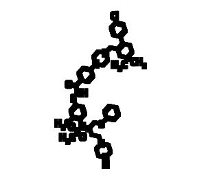 Cc1cc(SNC(=O)c2ccc(N3CCN(CC4=C(c5ccc(Cl)cc5)CCC(C)(C)C4)CC3)cc2)ccc1N([C@H](CCN1CCNCC1)CSc1ccccc1)S(C)(=O)=O